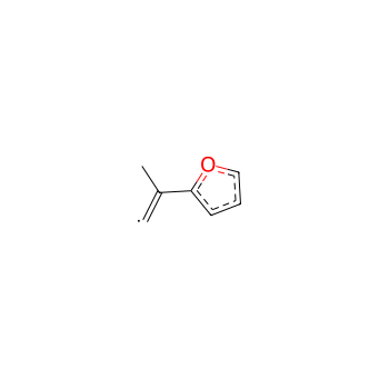 [CH]=C(C)c1ccco1